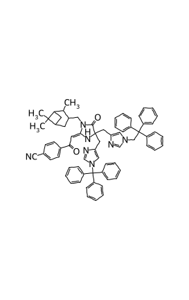 CC1C(CN2C(=O)C(Cc3cn(CC(c4ccccc4)(c4ccccc4)c4ccccc4)cn3)(Cc3cn(C(c4ccccc4)(c4ccccc4)c4ccccc4)cn3)NC2=CC(=O)c2ccc(C#N)cc2)CC2CC1C2(C)C